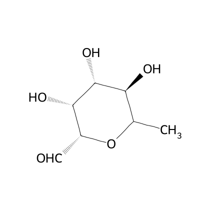 CC1O[C@H](C=O)[C@H](O)[C@H](O)[C@H]1O